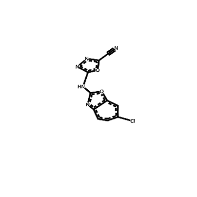 N#Cc1nnc(Nc2nc3ccc(Cl)cc3o2)o1